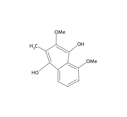 COc1c(C)c(O)c2cccc(OC)c2c1O